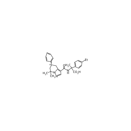 CCc1ccc(C(C)(NC(=O)c2cnn3c2C[C@H](c2ccccc2)CC3(C)C)C(=O)O)cc1